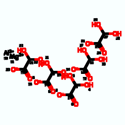 O=C([O-])C(O)O.O=C([O-])C(O)O.O=C([O-])C(O)O.O=C([O-])C(O)O.O=C([O-])C(O)O.[Al+3].[Mg+2]